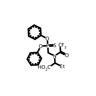 CCC(C(=O)O)N(CP(=S)(Oc1ccccc1)Oc1ccccc1)C(=O)C(F)(F)F